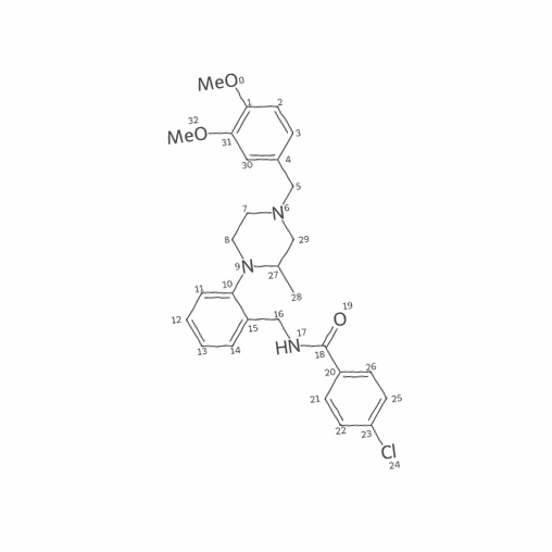 COc1ccc(CN2CCN(c3ccccc3CNC(=O)c3ccc(Cl)cc3)C(C)C2)cc1OC